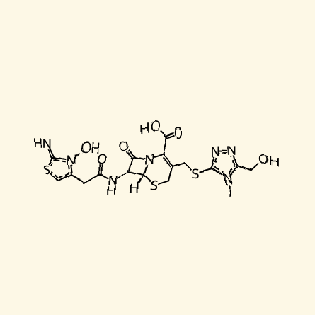 Cn1c(CO)nnc1SCC1=C(C(=O)O)N2C(=O)C(NC(=O)Cc3csc(=N)n3O)[C@H]2SC1